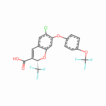 O=C(O)C1=Cc2cc(Cl)c(Oc3ccc(OC(F)(F)F)cc3)cc2O[C@@H]1C(F)(F)F